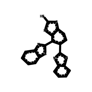 Sc1nc2c(-c3nc4ccccc4s3)c(-c3nc4ccccc4s3)ccc2s1